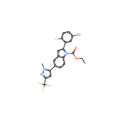 CCOC(=O)n1c(-c2cc(Cl)ccc2F)cc2cc(-c3cc(C(F)(F)F)nn3C)ccc21